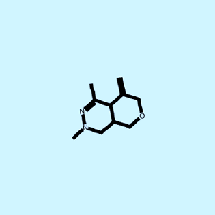 C=C1COCC2CN(C)N=C(C)C12